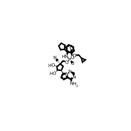 N#C[C@]1(COP(=O)(NC(C(=O)OCC2CC2)C2CCCC2)Oc2ccccc2)C[C@@H](c2ccc3c(N)ncnn23)[C@H](O)[C@@H]1O